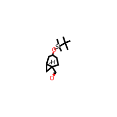 CC(C)(C)[Si](C)(C)OC1CCC2(C=O)C[C@H]2C1